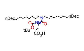 CCCCCCCCCCCCCCCCCCN(CCCCCCCCCCCCCCCCCC)C(=O)C(CCC(=O)O)NC(=O)OC(C)(C)C